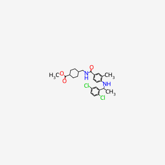 COC(=O)C1CCC(CNC(=O)c2ccc(N[C@@H](C)c3cc(Cl)ccc3Cl)c(C)c2)CC1